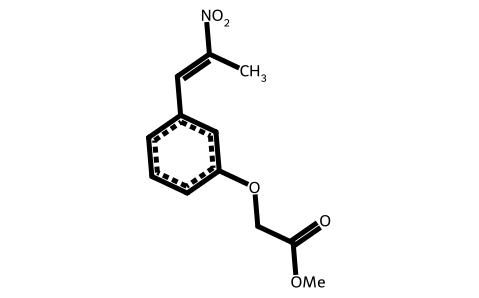 COC(=O)COc1cccc(/C=C(\C)[N+](=O)[O-])c1